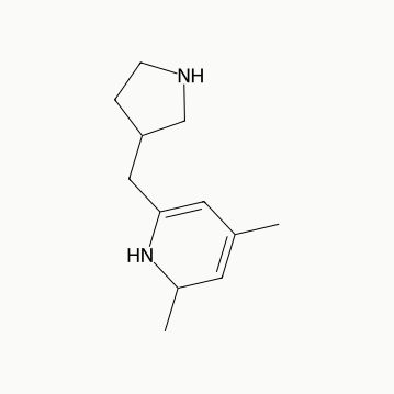 CC1=CC(C)NC(CC2CCNC2)=C1